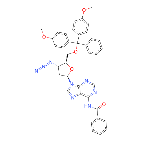 COc1ccc(C(OC[C@H]2O[C@@H](n3cnc4c(NC(=O)c5ccccc5)ncnc43)C[C@@H]2N=[N+]=[N-])(c2ccccc2)c2ccc(OC)cc2)cc1